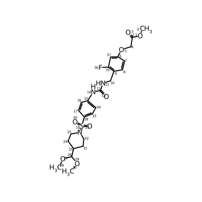 COC(=O)COc1ccc(CNC(=O)Nc2ccc(S(=O)(=O)N3CCC(C(OC)OC)CC3)cc2)c(F)c1